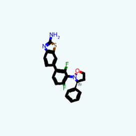 Nc1nc2ccc(-c3ccc(F)c(N4OCC[C@H]4c4ccccc4)c3F)cc2s1